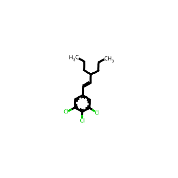 CCCC(/C=C/c1cc(Cl)c(Cl)c(Cl)c1)CCC